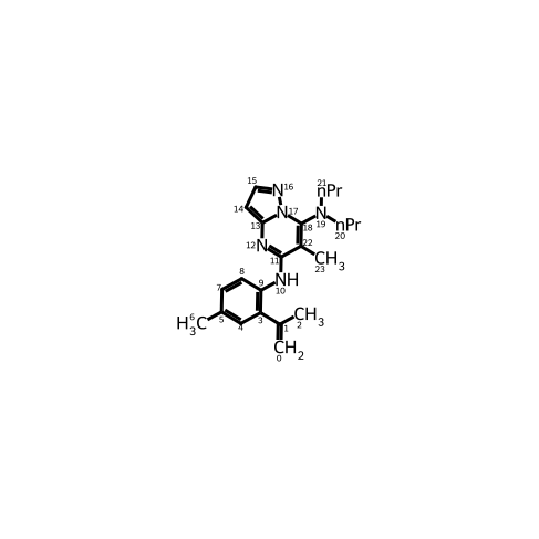 C=C(C)c1cc(C)ccc1Nc1nc2ccnn2c(N(CCC)CCC)c1C